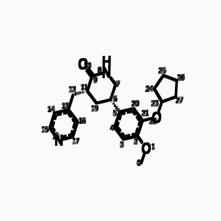 COc1ccc([C@H]2CNC(=O)[C@@H](Cc3ccncc3)C2)cc1OC1CCCC1